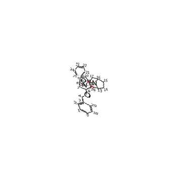 c1ccc(COC2CC3CCC(N4C5CCC4CC(Oc4ccccc4)C5)(C2)[N]3)cc1